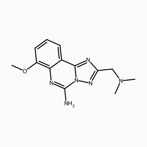 COc1cccc2c1nc(N)n1nc(CN(C)C)nc21